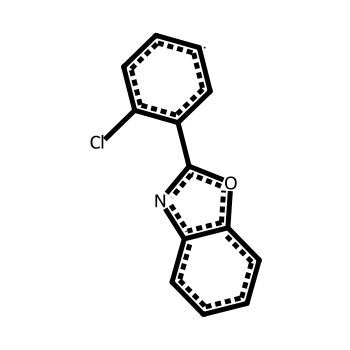 Clc1cc[c]cc1-c1nc2ccccc2o1